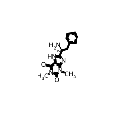 Cn1c(=O)c2[nH]c([C@@H](N)Cc3ccccc3)nc2n(C)c1=O